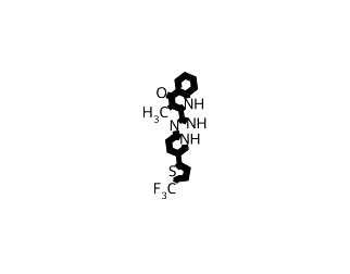 Cc1c(C(=N)/N=c2/ccc(-c3ccc(C(F)(F)F)s3)c[nH]2)[nH]c2ccccc2c1=O